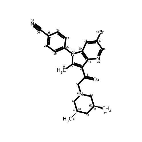 Cc1c(C(=O)CN2C[C@@H](C)C[C@H](C)C2)c2ncc(Br)cc2n1-c1ccc(C#N)cc1